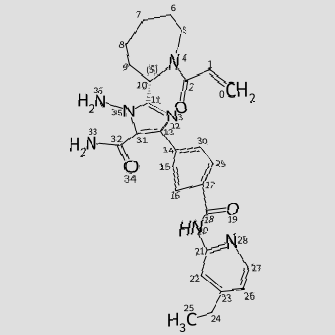 C=CC(=O)N1CCCCC[C@H]1c1nc(-c2ccc(C(=O)Nc3cc(CC)ccn3)cc2)c(C(N)=O)n1N